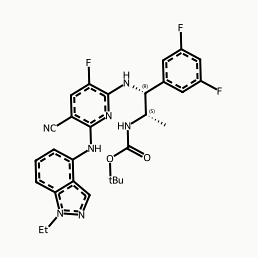 CCn1ncc2c(Nc3nc(N[C@H](c4cc(F)cc(F)c4)[C@H](C)NC(=O)OC(C)(C)C)c(F)cc3C#N)cccc21